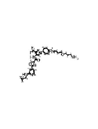 NCCCOCCCNC[C@H]1CC[C@H](n2cc(NC(=O)c3coc(-c4ccnc(NCC5CC5)c4)n3)c(C(F)F)n2)CC1